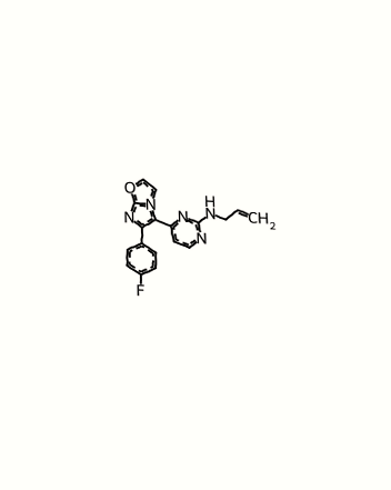 C=CCNc1nccc(-c2c(-c3ccc(F)cc3)nc3occn23)n1